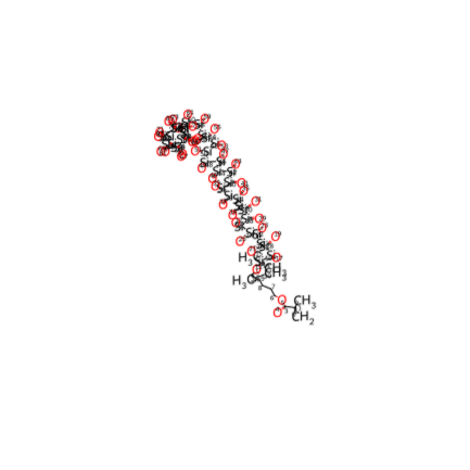 C=C(C)C(=O)OCCC[Si](C)(C)O[Si](C)(C)[Si](=O)[Si](=O)[Si](=O)[Si](=O)[Si](=O)[Si](=O)[Si](=O)[Si](=O)[Si](=O)[Si](=O)[Si](=O)[Si](=O)[Si](=O)[Si](=O)[Si](=O)[Si](=O)[Si](=O)[Si](=O)[Si](=O)[Si](=O)[Si](=O)[Si](=O)[Si](=O)[Si](=O)[Si](=O)[Si](=O)[Si](=O)[Si](=O)[Si](=O)[Si](=O)[Si](=O)[Si](=O)[Si](=O)[Si](=O)[SiH]=O